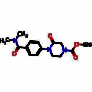 CN(C)C(=O)c1ccc(N2CCN(C(=O)OC(C)(C)C)CC2=O)cc1